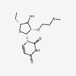 CC[C@H]1S[C@@H](n2ccc(=O)[nH]c2=O)[C@@H](OCCOC)C1O